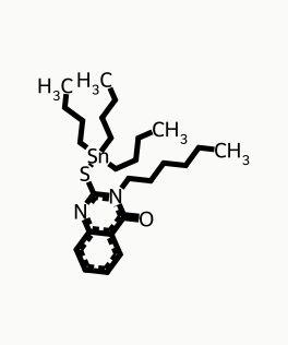 CCCCCCn1c([S][Sn]([CH2]CCC)([CH2]CCC)[CH2]CCC)nc2ccccc2c1=O